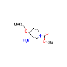 COCO[C@@H]1CCN(C(=O)OC(C)(C)C)C[C@@H]1N